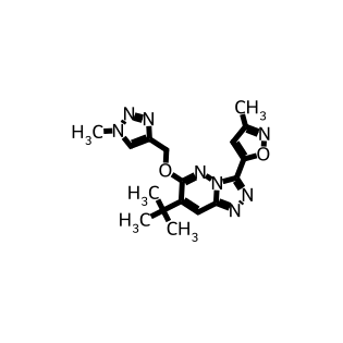 Cc1cc(-c2nnc3cc(C(C)(C)C)c(OCc4cn(C)nn4)nn23)on1